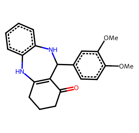 COc1ccc(C2Nc3ccccc3NC3=C2C(=O)CCC3)cc1OC